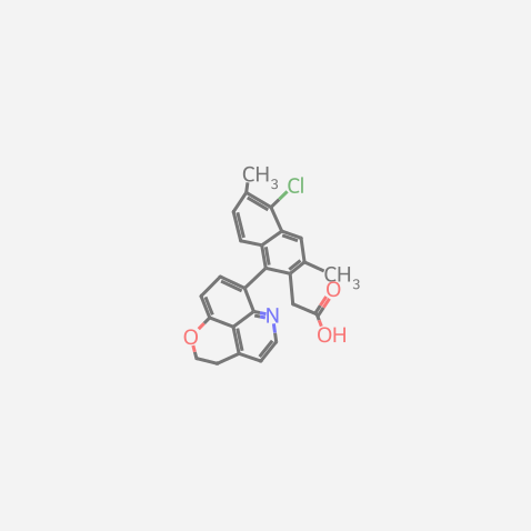 Cc1cc2c(Cl)c(C)ccc2c(-c2ccc3c4c(ccnc24)CCO3)c1CC(=O)O